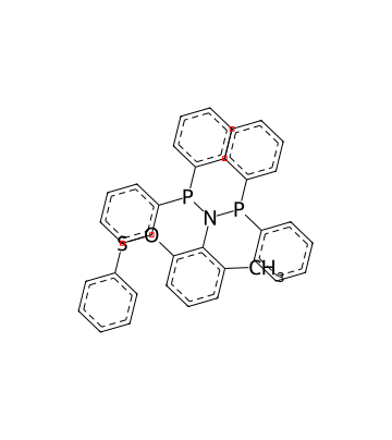 Cc1cccc(OSc2ccccc2)c1N(P(c1ccccc1)c1ccccc1)P(c1ccccc1)c1ccccc1